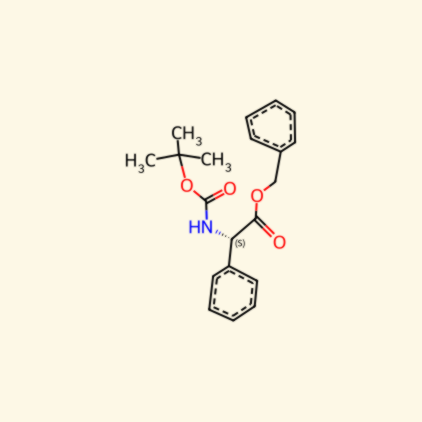 CC(C)(C)OC(=O)N[C@H](C(=O)OCc1ccccc1)c1ccccc1